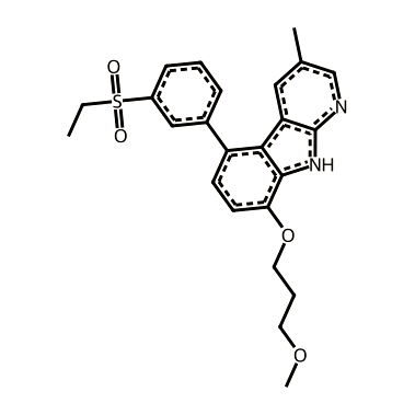 CCS(=O)(=O)c1cccc(-c2ccc(OCCCOC)c3[nH]c4ncc(C)cc4c23)c1